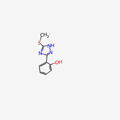 [CH2]Sc1nc(-c2ccccc2O)n[nH]1